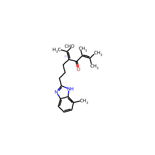 CC(C)=C(C)C(=O)/C(CCCc1nc2cccc(C)c2[nH]1)=C(/C)C=O